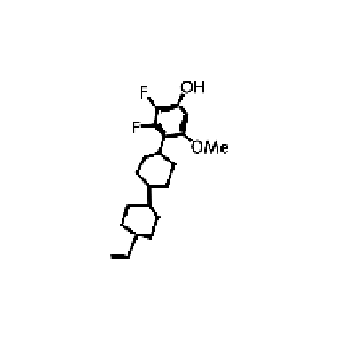 C=CC1CCC(C2CCC(c3c(OC)cc(O)c(F)c3F)CC2)CC1